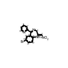 O=[N+]([O-])C=C1CN=C(c2ccccn2)c2cc(Br)ccc2N1